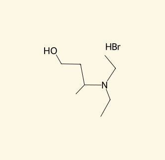 Br.CCN(CC)C(C)CCO